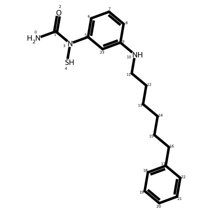 NC(=O)N(S)c1cccc(NCCCCCCc2ccccc2)c1